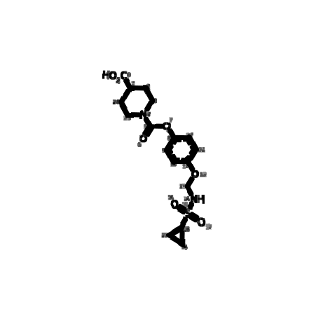 O=C(O)C1CCN(C(=O)Oc2ccc(OCNS(=O)(=O)C3CC3)cc2)CC1